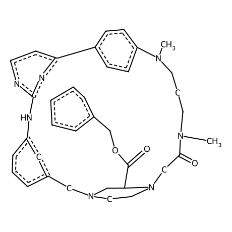 CN1CCCN(C)c2ccc(cc2)-c2ccnc(n2)Nc2cccc(c2)CN2CCN(CC1=O)C(C(=O)OCc1ccccc1)C2